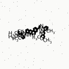 CN[C@H](C(=O)N1[C@@H](C)CC[C@H]1c1nc2ccc3cc4c(cc3c2[nH]1)OCc1cc(-c2cnc([C@@H]3CC[C@H](C)N3C(=O)CC3CC(C)OC(C)C3)[nH]2)ccc1-4)C(C)C